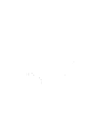 CC(CNN)OC1CCCCO1